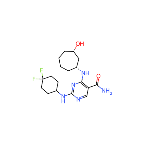 NC(=O)c1cnc(NC2CCC(F)(F)CC2)nc1N[C@@H]1CCCC[C@H](O)C1